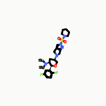 CC(C)(C)N([C@H]1C[C@@H](N2Cc3cn(S(=O)(=O)N4CCCCC4)nc3C2)CO[C@@H]1c1cc(F)ccc1F)C(C)(C)C